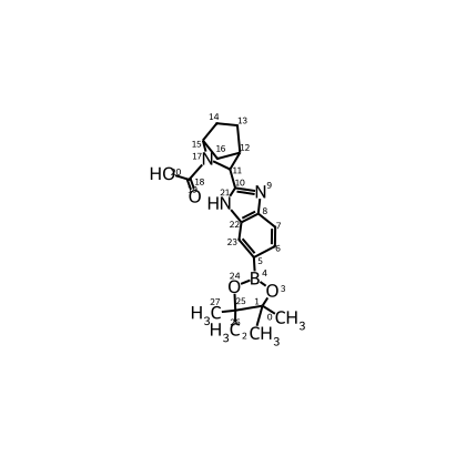 CC1(C)OB(c2ccc3nc(C4C5CCC(C5)N4C(=O)O)[nH]c3c2)OC1(C)C